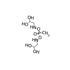 CP(=O)(ONCC(O)O)ONCC(O)O